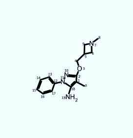 Cc1c(OCC2CN(C)C2)nn(-c2ccccc2)c1N